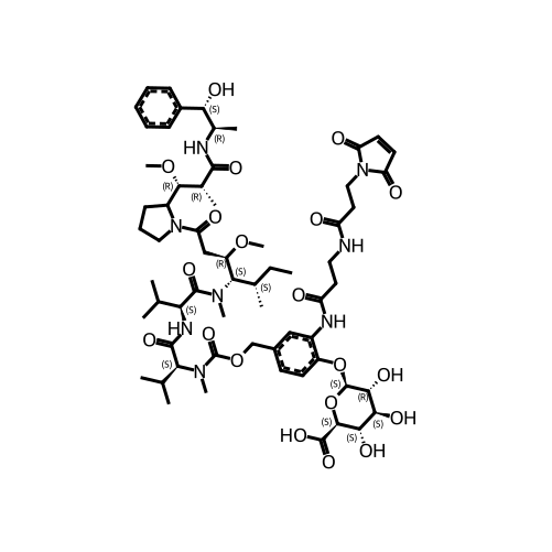 CC[C@H](C)[C@@H]([C@@H](CC(=O)N1CCCC1[C@H](OC)[C@@H](C)C(=O)N[C@H](C)[C@@H](O)c1ccccc1)OC)N(C)C(=O)[C@@H](NC(=O)[C@H](C(C)C)N(C)C(=O)OCc1ccc(O[C@@H]2O[C@H](C(=O)O)[C@@H](O)[C@H](O)[C@H]2O)c(NC(=O)CCNC(=O)CCN2C(=O)C=CC2=O)c1)C(C)C